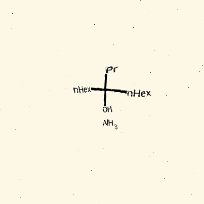 CCCCCCC(O)(CCCCCC)C(C)C.[AlH3]